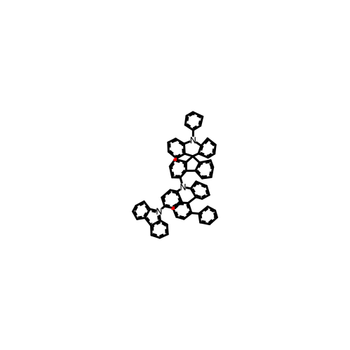 c1ccc(-c2ccccc2-c2ccccc2N(c2ccc(-n3c4ccccc4c4ccccc43)cc2)c2cccc3c2-c2ccccc2C32c3ccccc3N(c3ccccc3)c3ccccc32)cc1